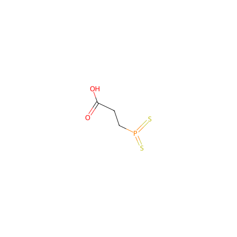 O=C(O)CCP(=S)=S